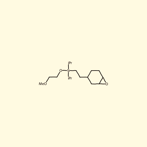 COCCO[Si](CCC1CCC2OC2C1)(C(C)C)C(C)C